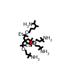 CCC(C)(CC(CC(C)(CC)OCCC(C)(C)N)(CC(C)(CC)OCCC(C)(C)N)CC(C)(CC)OCCC(C)(C)N)OCCCC(C)C(C)N